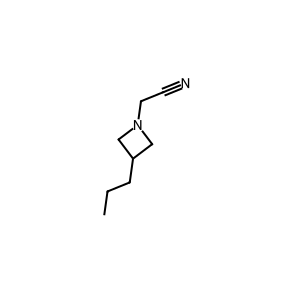 CCCC1CN(CC#N)C1